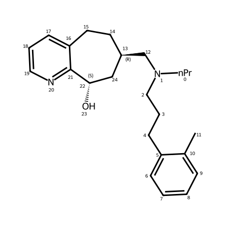 CCCN(CCCc1ccccc1C)C[C@@H]1CCc2cccnc2[C@@H](O)C1